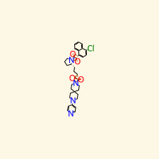 O=S(=O)(CCC[C@@H]1CCCN1S(=O)(=O)c1ccc(Cl)c2ccccc12)N1CCC2(CCN(c3ccncc3)CC2)CC1